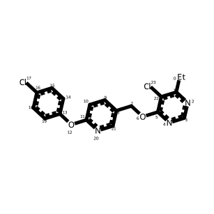 CCc1ncnc(OCc2ccc(Oc3ccc(Cl)cc3)nc2)c1Cl